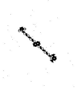 CC(C)c1cccc(C(C)C)c1OCCOCCOCCOCCOc1cccc2c(OCCOCCOCCOCCN3C(=O)C=CC3=O)cccc12